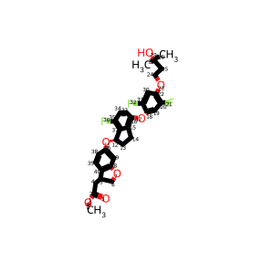 COC(=O)CC1COc2cc(O[C@@H]3CCc4c(Oc5cc(F)c(OCCC(C)(C)O)cc5F)ccc(F)c43)ccc21